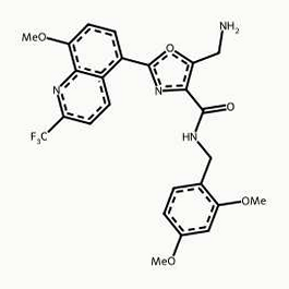 COc1ccc(CNC(=O)c2nc(-c3ccc(OC)c4nc(C(F)(F)F)ccc34)oc2CN)c(OC)c1